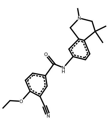 CCOc1ccc(C(=O)Nc2ccc3c(c2)CN(C)CC3(C)C)cc1C#N